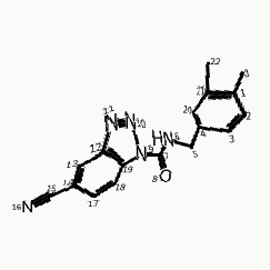 Cc1ccc(CNC(=O)n2nnc3cc(C#N)ccc32)cc1C